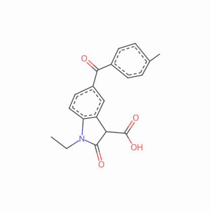 CCN1C(=O)C(C(=O)O)c2cc(C(=O)c3ccc(C)cc3)ccc21